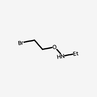 CCNOCCBr